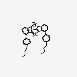 CCCCc1ccc(-c2cccc3c2C2=C(C)[CH]3[Zr][CH]3C(C)=C(c4c(-c5ccc(CCCC)cc5)cccc43)[Si]2(C)C)cc1